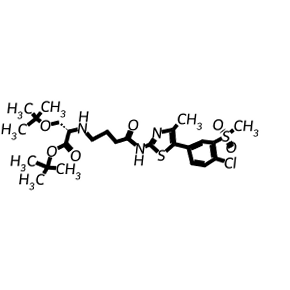 Cc1nc(NC(=O)CCCN[C@@H](COC(C)(C)C)C(=O)OC(C)(C)C)sc1-c1ccc(Cl)c(S(C)(=O)=O)c1